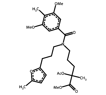 COC(=O)C(C)(CCCN(CCCc1ccc(C)o1)C(=O)c1cc(OC)c(C)c(OC)c1)OC(C)=O